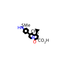 CSNc1ccc(-c2ccn3c(=O)c(C(=O)O)cc(C4CC4)c3c2C)cc1